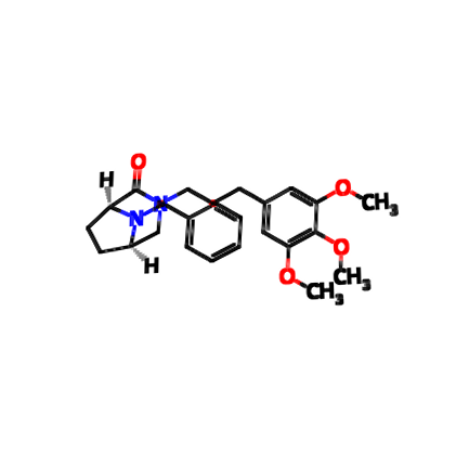 COc1cc(CCCN2C[C@H]3CC[C@@H](C2=O)N3Cc2ccccc2)cc(OC)c1OC